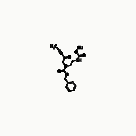 CC#CC(=O)CN(CCNC(=O)OC(C)(C)C)C(=O)OCc1ccccc1